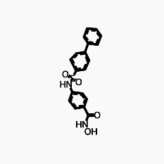 O=C(NO)c1ccc(NS(=O)(=O)c2ccc(-c3ccccc3)cc2)cc1